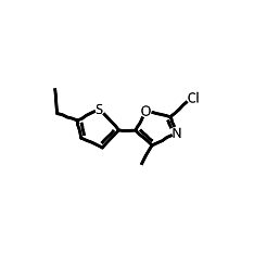 CCc1ccc(-c2oc(Cl)nc2C)s1